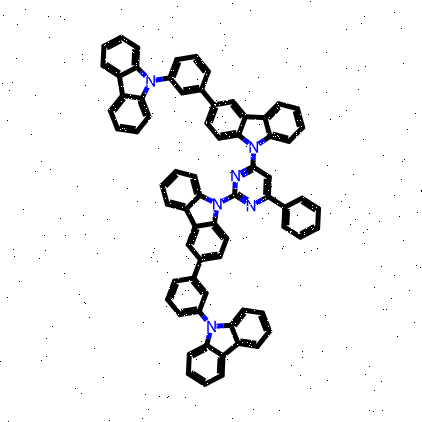 c1ccc(-c2cc(-n3c4ccccc4c4cc(-c5cccc(-n6c7ccccc7c7ccccc76)c5)ccc43)nc(-n3c4ccccc4c4cc(-c5cccc(-n6c7ccccc7c7ccccc76)c5)ccc43)n2)cc1